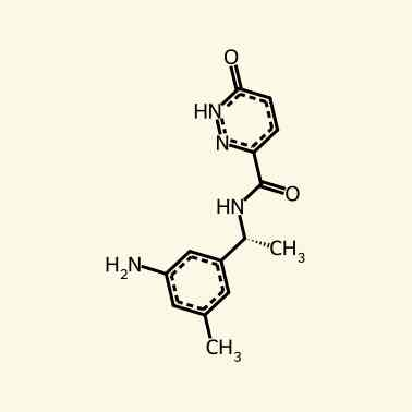 Cc1cc(N)cc([C@@H](C)NC(=O)c2ccc(=O)[nH]n2)c1